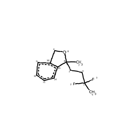 CC(F)(F)CCC1(C)OCc2ccccc21